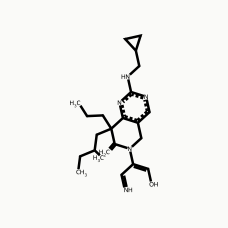 C=C1N(/C(C=N)=C/O)Cc2cnc(NCC3CC3)nc2C1(CCC)CC(C)CC